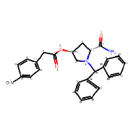 NC(=O)[C@H]1C[C@H](OC(=O)Cc2ccc([N+](=O)[O-])cc2)CN1C(c1ccccc1)c1ccccc1